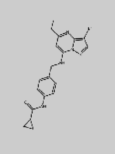 O=C(Nc1ccc(CNc2cc(CI)nc3c(Br)cnn23)cc1)C1CC1